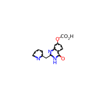 O=C(O)Oc1ccc2c(=O)[nH]c(Cc3ccccn3)nc2c1